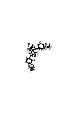 CC(NCc1cccc(OC(F)(F)F)c1)C(O)(NCc1cccc(OC(F)(F)F)c1)C(F)(F)F